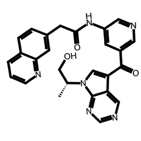 C[C@H](CO)n1cc(C(=O)c2cncc(NC(=O)Cc3ccc4cccnc4c3)c2)c2cncnc21